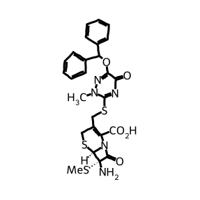 CS[C@@]1(N)C(=O)N2C(C(=O)O)=C(CSc3nc(=O)c(OC(c4ccccc4)c4ccccc4)nn3C)CS[C@@H]21